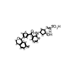 O=C(c1cc([C@@H]2OCCc3ccc(F)cc32)cs1)c1cncnc1N[C@@H]1C[C@H](CNS(=O)(=O)O)[C@@H](O)C1